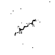 CCNC(=O)CCCNC(=O)CN